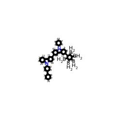 Bc1c(B)c(B)c(-c2ccc3c(c2)c2cc(-c4ccc5c(c4)c4ccccc4n5-c4ccc(-c5ccccc5)cc4)ccc2n3-c2ccccc2)c(B)c1B